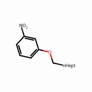 [CH2]CCCCCCCOc1cccc([N+](=O)[O-])c1